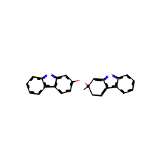 CC1(Oc2ccc3c(c2)[nH]c2ccccc23)C=c2[nH]c3ccccc3c2=CC1